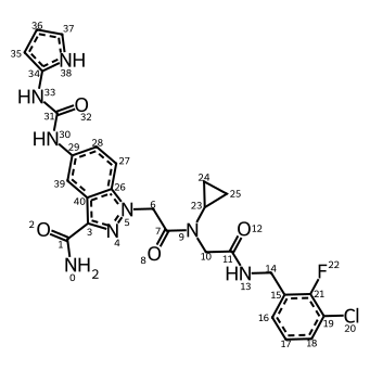 NC(=O)c1nn(CC(=O)N(CC(=O)NCc2cccc(Cl)c2F)C2CC2)c2ccc(NC(=O)Nc3ccc[nH]3)cc12